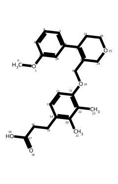 COc1cccc(C2=C(COc3ccc(CCC(=O)O)c(C)c3C)COCC2)c1